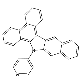 c1ccc2cc3c(cc2c1)c1c2ccccc2c2ccccc2c1n3-c1ccncc1